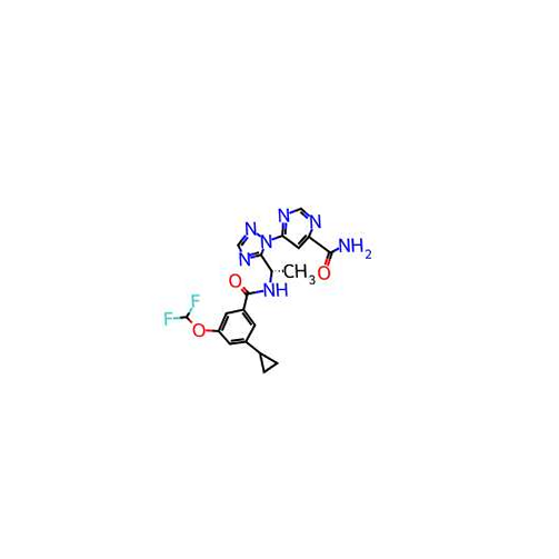 C[C@H](NC(=O)c1cc(OC(F)F)cc(C2CC2)c1)c1ncnn1-c1cc(C(N)=O)ncn1